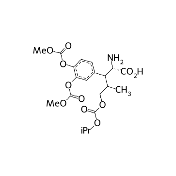 COC(=O)Oc1ccc(C(C(C)COC(=O)OC(C)C)[C@H](N)C(=O)O)cc1OC(=O)OC